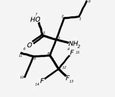 CCCC(N)(C(=O)O)C(C(C)C)C(F)(F)F